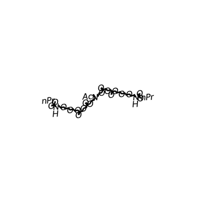 CCCOC(=O)NCCOCCOCCOC(=O)COCC(=O)OCCN(CCOC(=O)COCC(=O)OCCOCCOCCNC(=O)OCCC)CC(C)=O